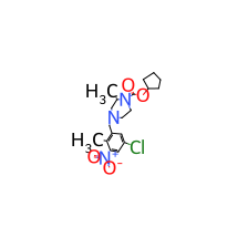 Cc1c(CN2CCN(C(=O)OC3CCCC3)[C@@H](C)C2)cc(Cl)cc1[N+](=O)[O-]